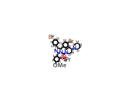 COc1ccc(C2=NC(c3ccc(Br)cc3)C(c3ccc(Br)cc3)N2C(=O)N2CCC(N3CCCCC3)CC2)c(OC(C)C)c1